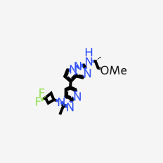 COC[C@@H](C)Nc1ncc2c(-c3cnc4nc(C)n(C5CC(F)(F)C5)c4c3)ccn2n1